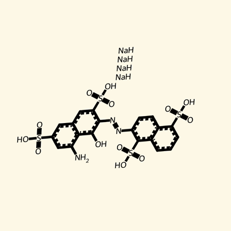 Nc1cc(S(=O)(=O)O)cc2cc(S(=O)(=O)O)c(N=Nc3ccc4c(S(=O)(=O)O)cccc4c3S(=O)(=O)O)c(O)c12.[NaH].[NaH].[NaH].[NaH]